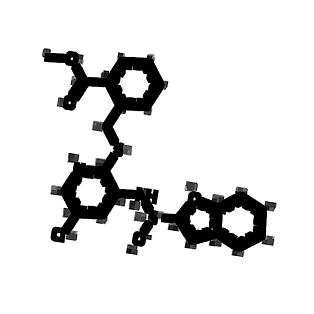 COC(=O)c1ccccc1CSc1ncc(Cl)cc1N[S+]([O-])c1cc2ccccc2o1